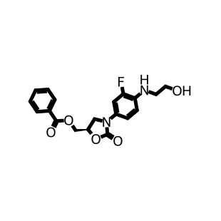 O=C(OC[C@H]1CN(c2ccc(NCCO)c(F)c2)C(=O)O1)c1ccccc1